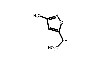 Cc1cc(NC(=O)O)on1